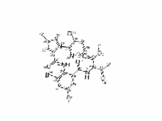 COC(=O)N(NC(=O)c1cc(Br)cc(Br)c1NC(=O)c1cc(C)nn1-c1ncccc1Cl)C(C)=O